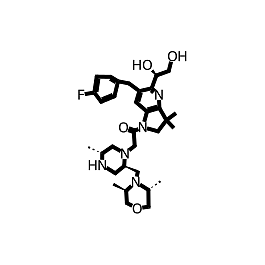 C[C@@H]1CN(CC(=O)N2CC(C)(C)c3nc([C@@H](O)CO)c(Cc4ccc(F)cc4)cc32)[C@@H](CN2[C@H](C)COC[C@H]2C)CN1